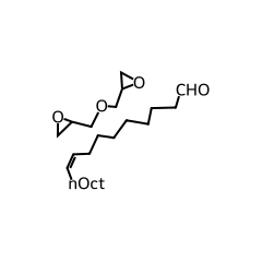 C(OCC1CO1)C1CO1.CCCCCCCC/C=C\CCCCCCCC=O